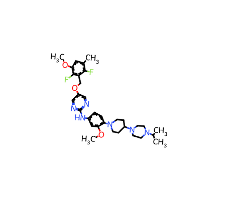 COc1cc(Nc2ncc(OCc3c(F)c(C)cc(OC)c3F)cn2)ccc1N1CCC(N2CCN(C(C)C)CC2)CC1